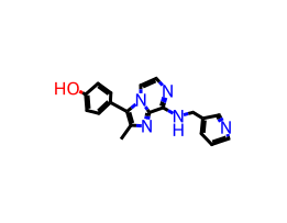 Cc1nc2c(NCc3cccnc3)nccn2c1-c1ccc(O)cc1